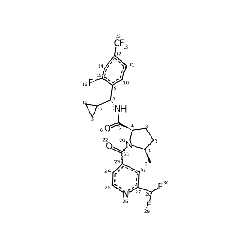 C[C@@H]1CC[C@H](C(=O)N[C@@H](c2ccc(C(F)(F)F)cc2F)C2CC2)N1C(=O)c1ccnc(C(F)F)c1